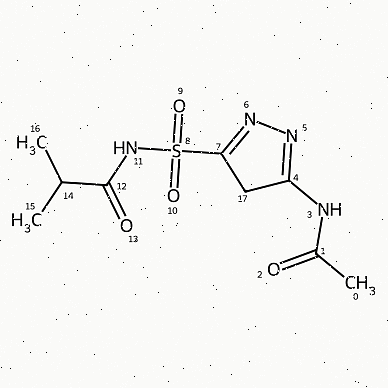 CC(=O)NC1=NN=C(S(=O)(=O)NC(=O)C(C)C)C1